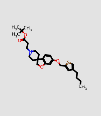 CCCCc1csc(COc2ccc3c(c2)OCC32CCN(CCC(=O)OC(C)(C)C)CC2)c1